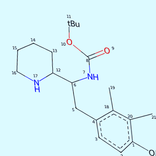 COc1ccc(CC(NC(=O)OC(C)(C)C)C2CCCCN2)c(C)c1C